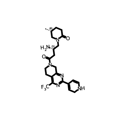 C[C@@H]1CCC(=O)N(C[C@@H](N)CC(=O)N2CCc3c(nc(C4=CCNC=C4)nc3C(F)(F)F)C2)C1